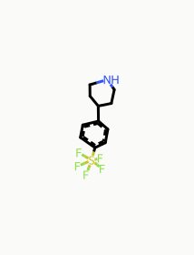 FS(F)(F)(F)(F)c1ccc(C2CCNCC2)cc1